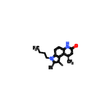 CCc1c(C)c2c3c(C(F)(F)F)cc(=O)[nH]c3ccc2n1CCCC(F)(F)F